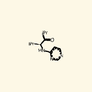 CC(C)C(=O)[C@@H](Nc1ccncn1)C(C)C